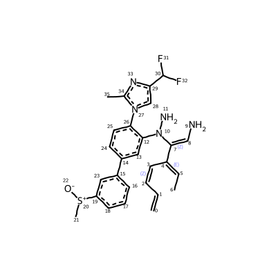 C=C\C=C/C(=C\C)C(=C/N)/N(N)c1cc(-c2cccc([S+](C)[O-])c2)ccc1-n1cc(C(F)F)nc1C